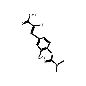 COC(=O)C(Cl)=Cc1ccc(SC(=O)N(C)C)c(OC)c1